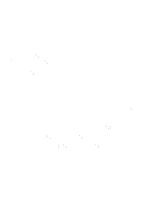 CC(C)(C)c1cc(NC(=O)N[C@H]2CC[C@@H](Oc3ccc4nnc(C(C)(C)C)n4c3)c3ccccc32)nc(C(=O)NCCO)n1